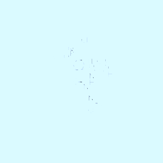 CCOC(=O)N1CCN(C(=O)C(NC(=O)OC(C)(C)C)c2ccc(P(=O)(OCC)OCC)cc2)CC1